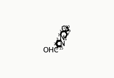 O=Cc1ccc(N2CCC3(CCO3)CC2)nc1